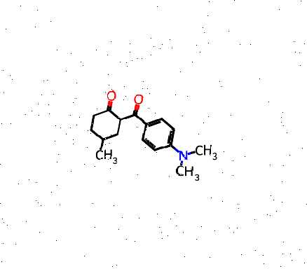 CC1CCC(=O)C(C(=O)c2ccc(N(C)C)cc2)C1